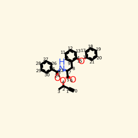 C#CC(C)OC(=O)C(Cc1ccccc1Oc1ccccc1)NC(=O)c1ccccc1